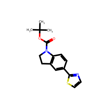 CC(C)(C)OC(=O)N1CCc2cc(-c3nccs3)ccc21